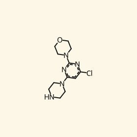 Clc1cc(N2CCNCC2)nc(N2CCOCC2)n1